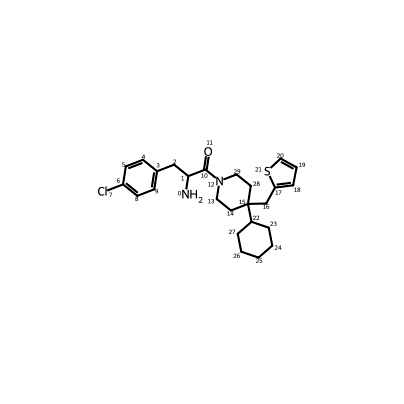 NC(Cc1ccc(Cl)cc1)C(=O)N1CCC(Cc2cccs2)(C2CCCCC2)CC1